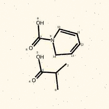 CC(C)C(=O)O.O=C(O)N1C=CC=CC1